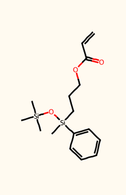 C=CC(=O)OCCC[Si](C)(O[Si](C)(C)C)c1ccccc1